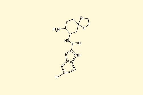 NC1CCC2(CC1NC(=O)c1cc3cc(Cl)ccc3[nH]1)OCCO2